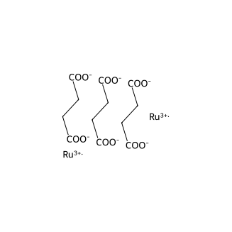 O=C([O-])CCC(=O)[O-].O=C([O-])CCC(=O)[O-].O=C([O-])CCC(=O)[O-].[Ru+3].[Ru+3]